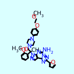 COCCOc1ccc(N2CCN(C(=O)C(C)(c3ccccc3OC)n3ncc4c3nc(N)n3nc(-c5ccco5)nc43)CC2)cc1